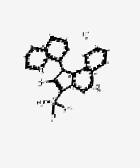 C[Si](C)(Cl)C1=[C]([Cr+2])C(c2cccc3cccnc23)c2c1ccc1ccccc21.[Cl-].[Cl-]